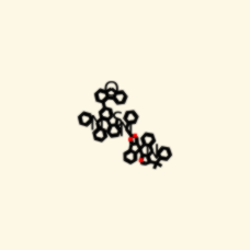 CC1(C)c2ccccc2N2c3ccccc3C3(c4ccccc4-c4cc(N(c5ccccc5)c5cccc6c5sc5cc(-c7cccc8oc9ccccc9c78)cc(N(c7ccccc7)c7ccccc7)c56)ccc43)c3cccc1c32